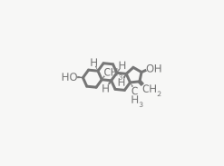 C=C1C(O)C[C@H]2[C@@H]3CC[C@@H]4C[C@H](O)CC[C@]4(C)[C@H]3CC[C@]12C